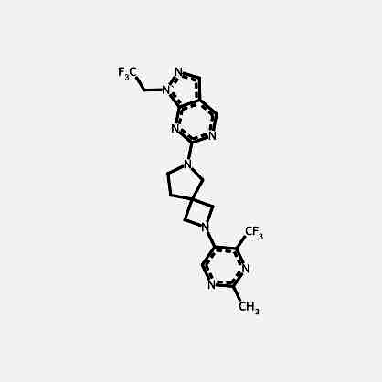 Cc1ncc(N2CC3(CCN(c4ncc5cnn(CC(F)(F)F)c5n4)C3)C2)c(C(F)(F)F)n1